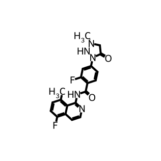 Cc1ccc(F)c2ccnc(NC(=O)c3ccc(N4NN(C)CC4=O)cc3F)c12